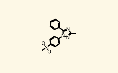 Cc1nc(-c2ccccc2)n(-c2ccc(S(C)(=O)=O)cc2)n1